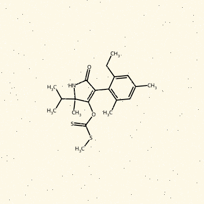 CCc1cc(C)cc(C)c1C1=C(OC(=S)SC)C(C)(C(C)C)NC1=O